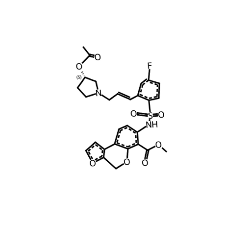 COC(=O)c1c(NS(=O)(=O)c2ccc(F)cc2C=CCN2CC[C@H](OC(C)=O)C2)ccc2c1OCc1occc1-2